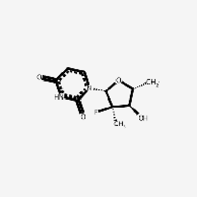 [CH2][C@H]1O[C@@H](n2ccc(=O)[nH]c2=O)[C@](C)(F)[C@@H]1O